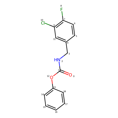 O=C(NCc1ccc(F)c(Cl)c1)Oc1ccccc1